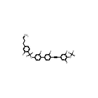 C=CCCc1ccc(C(F)(F)Oc2ccc(-c3ccc(C#Cc4cc(F)c(OC(F)(F)F)c(F)c4)c(F)c3)c(F)c2)c(F)c1